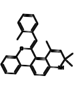 CC1=CC(C)(C)Nc2ccc3c(c21)C(=Cc1ccccc1C)Oc1ccccc1-3